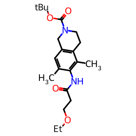 CCOCCC(=O)Nc1c(C)cc2c(c1C)CCN(C(=O)OC(C)(C)C)C2